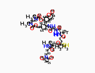 CC(C)C(NC(=O)CCC(C)(S)OCCC(C)(C)NC(=O)CCCN1C(=O)C=CC1=O)C(=O)NCC(=O)Nc1ccc(COC(=O)N(C)CCN(C)C(=O)Oc2ccc3ccc(=O)oc3c2)cc1